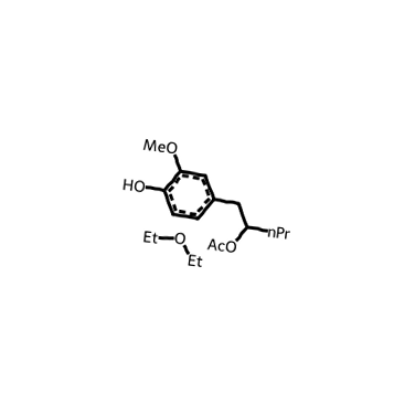 CCCC(Cc1ccc(O)c(OC)c1)OC(C)=O.CCOCC